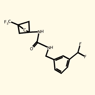 O=C(NCc1cccc(C(F)F)c1)NC12CC(C(F)(F)F)(C1)C2